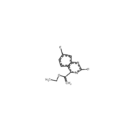 C=C(OCC)c1nc(Cl)nc2cc(F)ccc12